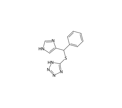 c1ccc(C(Sc2nnn[nH]2)c2c[nH]cn2)cc1